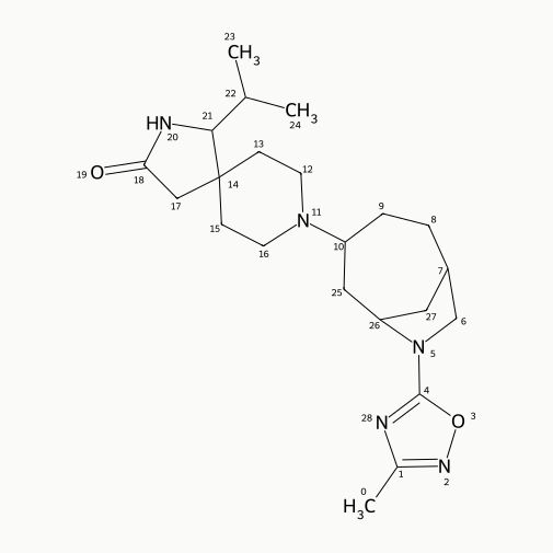 Cc1noc(N2CC3CCC(N4CCC5(CC4)CC(=O)NC5C(C)C)CC2C3)n1